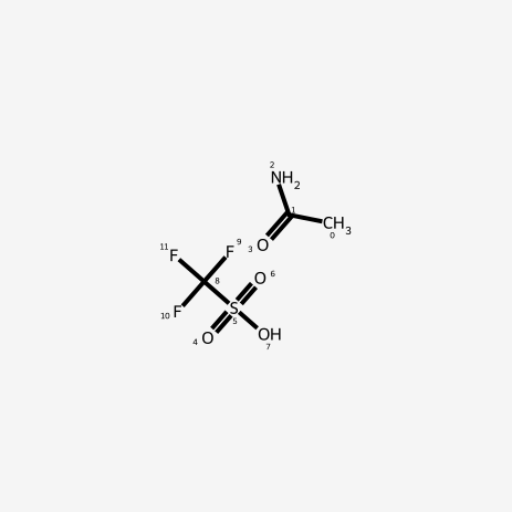 CC(N)=O.O=S(=O)(O)C(F)(F)F